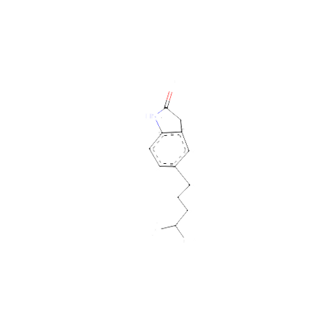 CCCC(CCCc1ccc2c(c1)CC(=O)N2)C(=O)O